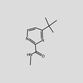 CNC(=O)c1nccc(C(C)(C)C)n1